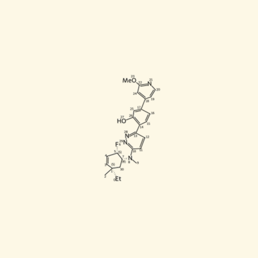 CC[C@]1(C)C=C[C@H](F)[C@H](N(C)c2ccc(-c3ccc(-c4ccnc(OC)c4)cc3O)nn2)C1